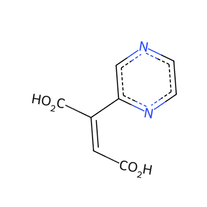 O=C(O)/C=C(/C(=O)O)c1cnccn1